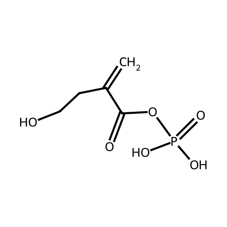 C=C(CCO)C(=O)OP(=O)(O)O